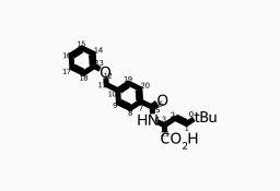 CC(C)(C)/C=C/C(NC(=O)c1ccc(COc2ccccc2)cc1)C(=O)O